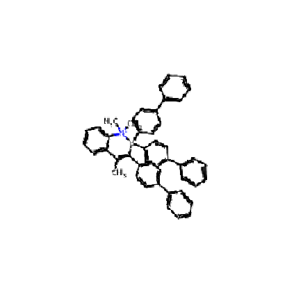 CC1=C(c2ccc(-c3ccccc3)cc2)[B-](c2ccc(-c3ccccc3)cc2)(c2ccc(-c3ccccc3)cc2)[N+](C)(C)c2ccccc21